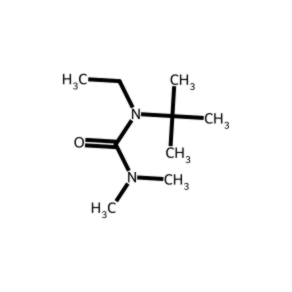 CCN(C(=O)N(C)C)C(C)(C)C